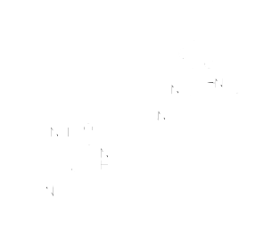 Cc1ccc2c(N)c(C(=O)N[C@H]3CCc4nc(N5C[C@H](N)C6(C5)OCCO6)ccc4C3)sc2n1